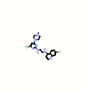 CN1CCN(c2cc(Cl)nc(NCCNc3ccnc4cc(Cl)ccc34)n2)CC1